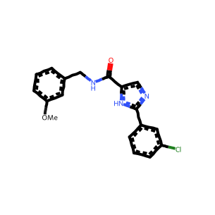 COc1cccc(CNC(=O)c2cnc(-c3cccc(Cl)c3)[nH]2)c1